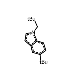 CC(C)(C)Cn1ccc2cc(C(C)(C)C)ccc21